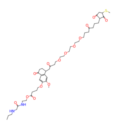 CCCNCC(=O)NCCOC(=O)CCCOc1cc2c(cc1OC)C(CC(=O)CCOCCOCCOCCOCCCC(=O)CCCC1C(=O)CC(SC)C1=O)CCC2=O